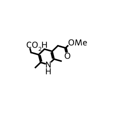 COC(=O)CC1=C(C)NC(C)=C(CC(=O)O)C1